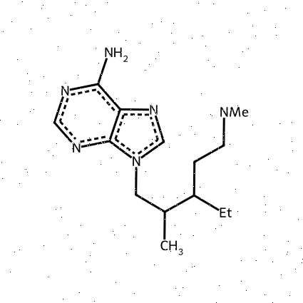 CCC(CCNC)C(C)Cn1cnc2c(N)ncnc21